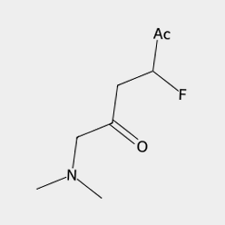 CC(=O)C(F)CC(=O)CN(C)C